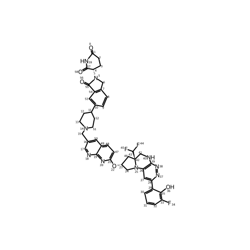 O=C1CC[C@H](N2Cc3ccc(C4CCN(Cc5cnc6nc(O[C@H]7CN8c9cc(-c%10cccc(F)c%10O)nnc9NC[C@@]8(C(F)F)C7)ccc6c5)CC4)cc3C2=O)C(=O)N1